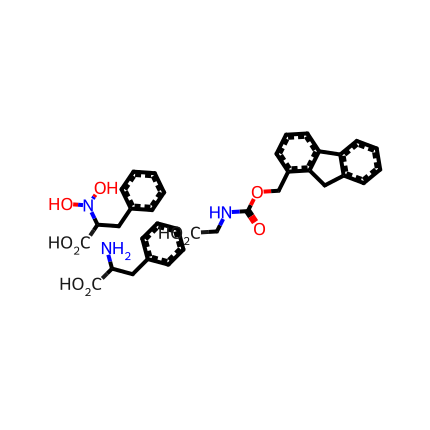 NC(Cc1ccccc1)C(=O)O.O=C(O)C(Cc1ccccc1)N(O)O.O=C(O)CNC(=O)OCc1cccc2c1Cc1ccccc1-2